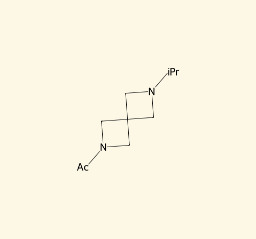 CC(=O)N1CC2(C1)CN(C(C)C)C2